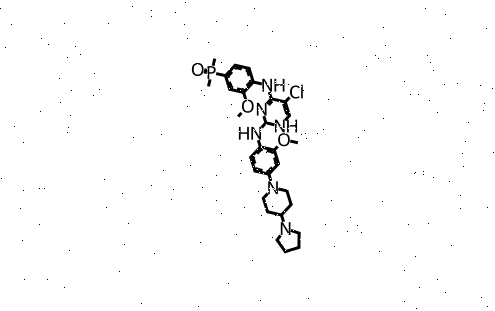 COc1cc(P(C)(C)=O)ccc1NC1=NC(Nc2ccc(N3CCC(N4CCCC4)CC3)cc2OC)NC=C1Cl